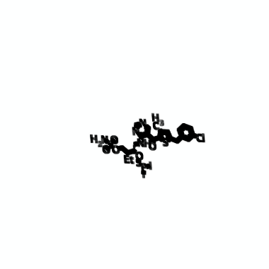 CC[C@H](COS(N)(=O)=O)[C@H](CNc1ncncc1C(=O)c1sc(Cc2cccc(Cl)c2)cc1C)OSP(I)I